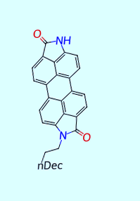 CCCCCCCCCCCCN1C(=O)c2ccc3c4ccc5c6c(ccc(c7ccc1c2c37)c64)C(=O)N5